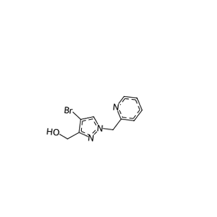 OCc1nn(Cc2ccccn2)cc1Br